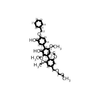 COCOCc1cc(OC)c(-c2cc(OC)c(-c3ccc(OCc4ccccc4)c(O)c3)c(O)c2OC)c(OC)c1